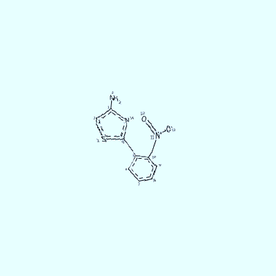 Nc1csc(-c2ccccc2[N+](=O)[O-])n1